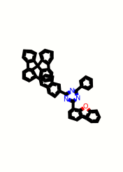 c1ccc(-c2nc(-c3ccc4cc(-c5cccc6c5C5(c7ccccc7-c7ccccc75)c5ccccc5-6)ccc4c3)nc(-c3cccc4c3oc3ccccc34)n2)cc1